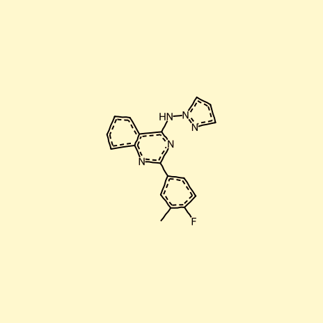 Cc1cc(-c2nc(Nn3cccn3)c3ccccc3n2)ccc1F